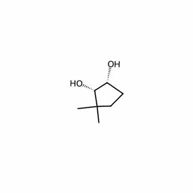 CC1(C)CC[C@@H](O)[C@H]1O